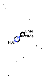 CNc1cc(N2CCN(C)CC2)ccc1OC